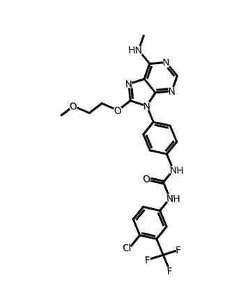 CNc1ncnc2c1nc(OCCOC)n2-c1ccc(NC(=O)Nc2ccc(Cl)c(C(F)(F)F)c2)cc1